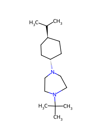 CC(C)[C@H]1CC[C@H](N2CCN(C(C)(C)C)CC2)CC1